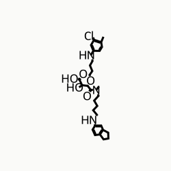 Cc1ccc(NCCCCOC(C(=O)N(C)CCCCCNc2ccc3c(c2)CCC3)C(O)C(=O)O)cc1Cl